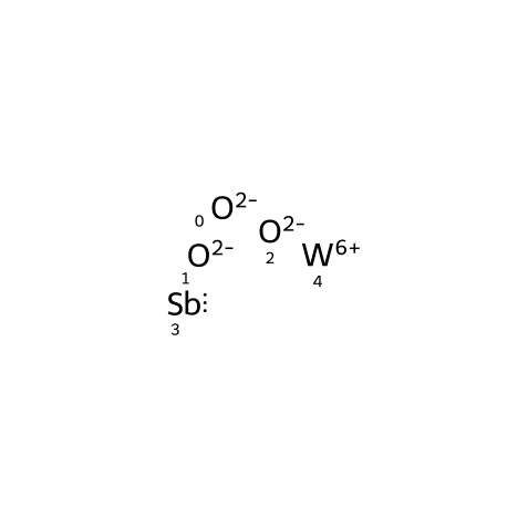 [O-2].[O-2].[O-2].[Sb].[W+6]